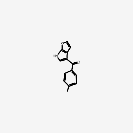 Cc1ccc(C(=O)c2c[nH]c3sccc23)cc1